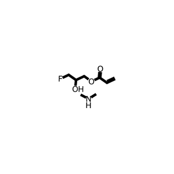 C=CC(=O)OCC(O)CF.CNC